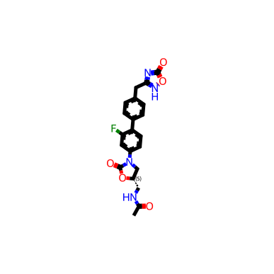 CC(=O)NC[C@H]1CN(c2ccc(-c3ccc(Cc4nc(=O)o[nH]4)cc3)c(F)c2)C(=O)O1